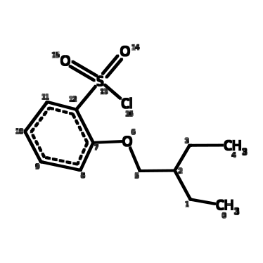 CCC(CC)COc1ccccc1S(=O)(=O)Cl